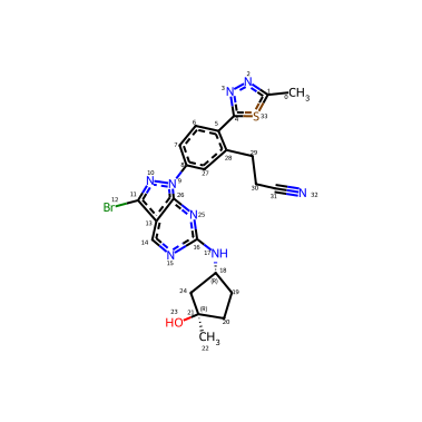 Cc1nnc(-c2ccc(-n3nc(Br)c4cnc(N[C@@H]5CC[C@@](C)(O)C5)nc43)cc2CCC#N)s1